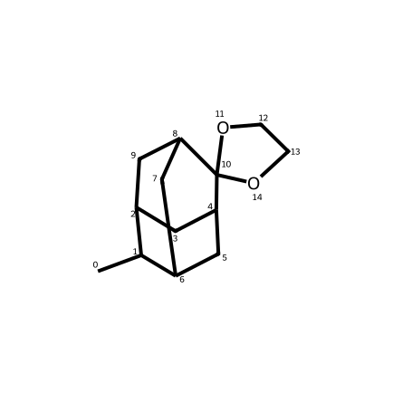 CC1C2CC3CC1CC(C2)C31OCCO1